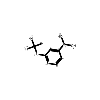 [2H]C([2H])([2H])Oc1cc(B(O)O)ccn1